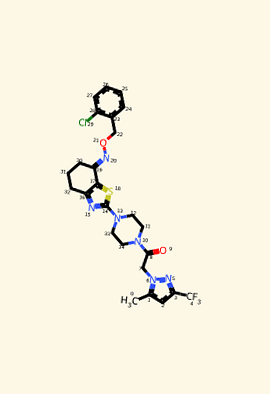 Cc1cc(C(F)(F)F)nn1CC(=O)N1CCN(c2nc3c(s2)C(=NOCc2ccccc2Cl)CCC3)CC1